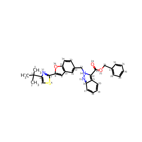 CC(C)(C)c1csc(-c2cc3cc(Cn4nc5ccccc5c4C(=O)OCc4ccccc4)ccc3o2)n1